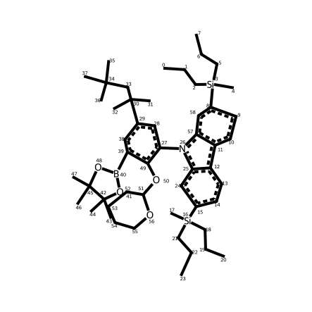 CCC[Si](C)(CCC)c1ccc2c3ccc([Si](C)(CCC)CCC)cc3n(-c3cc(C(C)(C)CC(C)(C)C)cc(B4OC(C)(C)C(C)(C)O4)c3OC3CCCCO3)c2c1